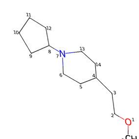 COCCC1CCN(C2CCCC2)CC1